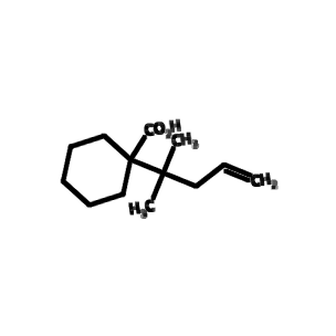 C=CCC(C)(C)C1(C(=O)O)CCCCC1